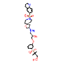 CC(C)(CO)S(=O)(=O)c1cccc(OCC(O)CNC2COC3(CCN(S(=O)(=O)c4ccc5ncccc5c4)CC3)C2)c1